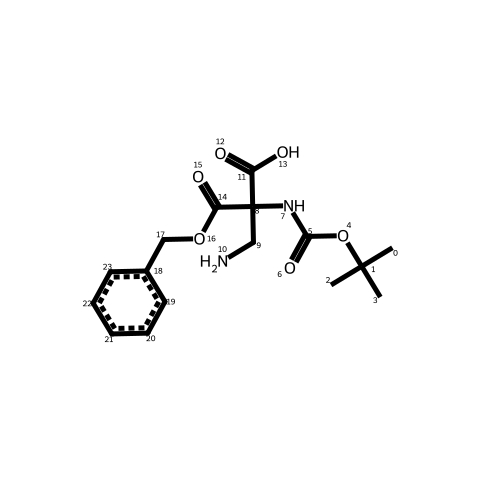 CC(C)(C)OC(=O)NC(CN)(C(=O)O)C(=O)OCc1ccccc1